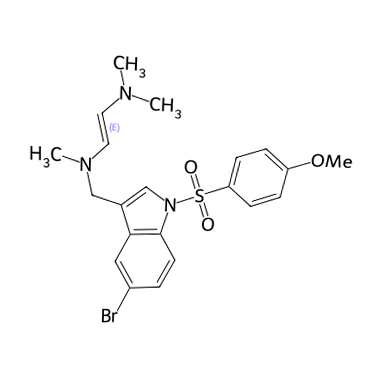 COc1ccc(S(=O)(=O)n2cc(CN(C)/C=C/N(C)C)c3cc(Br)ccc32)cc1